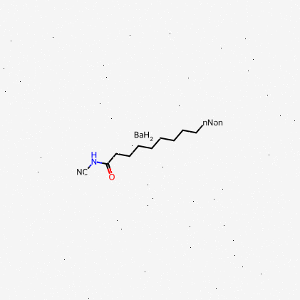 CCCCCCCCCCCCCCCCCC(=O)NC#N.[BaH2]